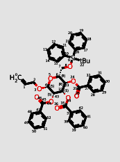 C=CCO[C@H]1O[C@H](CO[Si](c2ccccc2)(c2ccccc2)C(C)(C)C)[C@@H](OC(=O)c2ccccc2)[C@H](OC(=O)c2ccccc2)[C@@H]1OC(=O)c1ccccc1